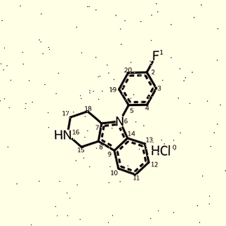 Cl.Fc1ccc(-n2c3c(c4ccccc42)CNCC3)cc1